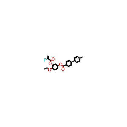 C=C(F)C(=O)Oc1cc(OC(=O)c2ccc(-c3ccc(C)cc3)cc2)ccc1OCC